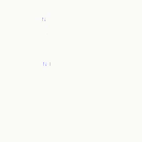 CC1CCC(C2CCC(CNCC3CC(C)(C)N(C)C3(C)C)CC2)CC1